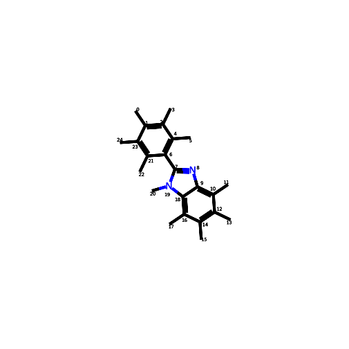 Cc1c(C)c(C)c(-c2nc3c(C)c(C)c(C)c(C)c3n2C)c(C)c1C